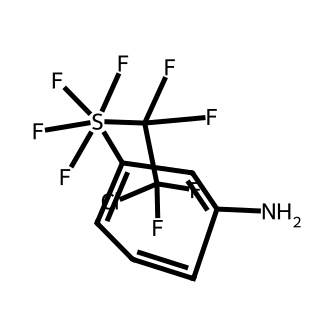 Nc1cccc(S(F)(F)(F)(F)C(F)(F)C(F)(F)Cl)c1